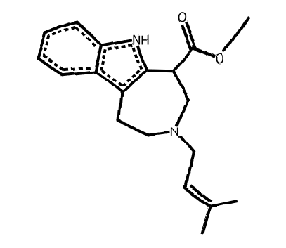 COC(=O)C1CN(CC=C(C)C)CCc2c1[nH]c1ccccc21